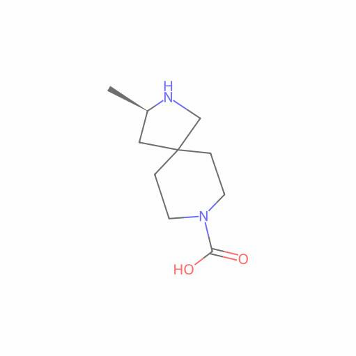 C[C@@H]1CC2(CCN(C(=O)O)CC2)CN1